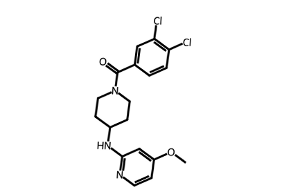 COc1ccnc(NC2CCN(C(=O)c3ccc(Cl)c(Cl)c3)CC2)c1